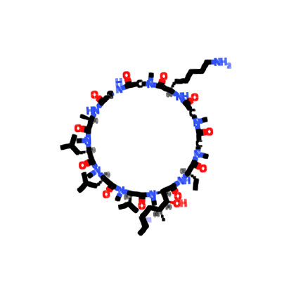 C/C=C/C[C@@H](C)[C@@H](O)[C@H]1C(=O)N[C@@H](CC)C(=O)N(C)CC(=O)N(C)CC(=O)N[C@@H](CCCCCN)C(=O)N(C)CC(=O)NCC(=O)N[C@H](C)C(=O)N(C)[C@@H](CC(C)C)C(=O)N(C)[C@@H](CC(C)C)C(=O)N(C)[C@@H](C(C)C)C(=O)N1C